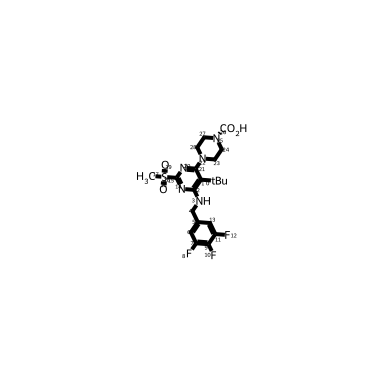 CC(C)(C)c1c(NCc2cc(F)c(F)c(F)c2)nc(S(C)(=O)=O)nc1N1CCN(C(=O)O)CC1